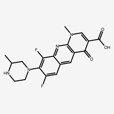 CC1CN(c2c(F)cc3cc4c(=O)c(C(=O)O)cn(C)c4nc3c2F)CCN1